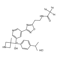 Cl.[2H]C([2H])([2H])C(=O)NCCc1nc(-c2cncc([C@@](O)(c3ccc(C(C)C)cc3)C3(C)CNC3)c2)no1